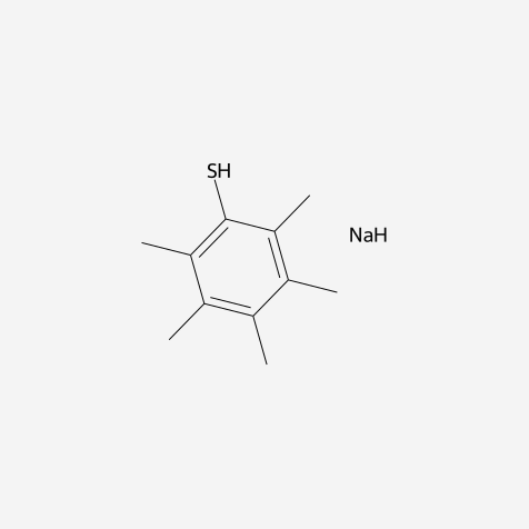 Cc1c(C)c(C)c(S)c(C)c1C.[NaH]